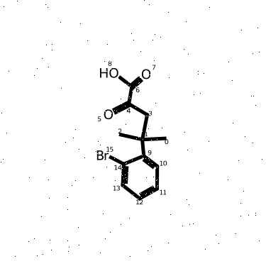 CC(C)(CC(=O)C(=O)O)c1ccccc1Br